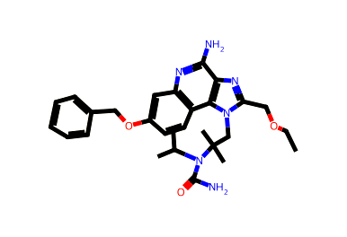 CCOCc1nc2c(N)nc3cc(OCc4ccccc4)ccc3c2n1CC(C)(C)N(C(N)=O)C(C)C